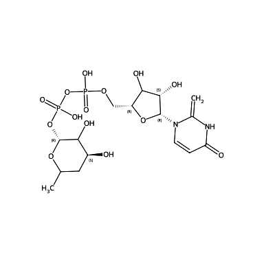 C=C1NC(=O)C=CN1[C@@H]1O[C@H](COP(=O)(O)OP(=O)(O)O[C@H]2OC(C)C[C@H](O)C2O)C(O)[C@@H]1O